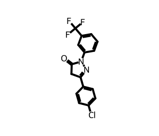 O=C1CC(c2ccc(Cl)cc2)=NN1c1cccc(C(F)(F)F)c1